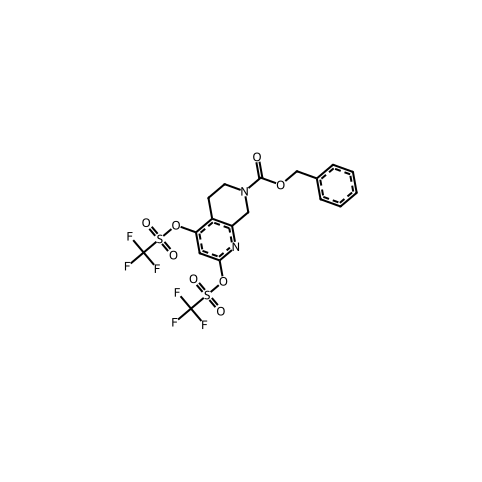 O=C(OCc1ccccc1)N1CCc2c(OS(=O)(=O)C(F)(F)F)cc(OS(=O)(=O)C(F)(F)F)nc2C1